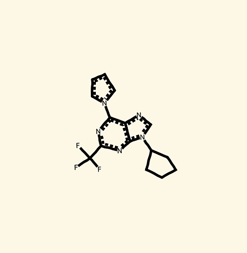 FC(F)(F)c1nc(-n2cccc2)c2ncn(C3CCCC3)c2n1